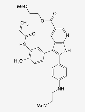 C=CC(=O)Nc1cc(-c2c(-c3ccc(NCCNC)cc3)[nH]c3ncc(C(=O)OCCOC)cc23)ccc1C